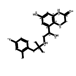 Cc1cc(F)ccc1CC(C)(C)NCC(O)c1cc(O)cc2c1OCC(=O)N2